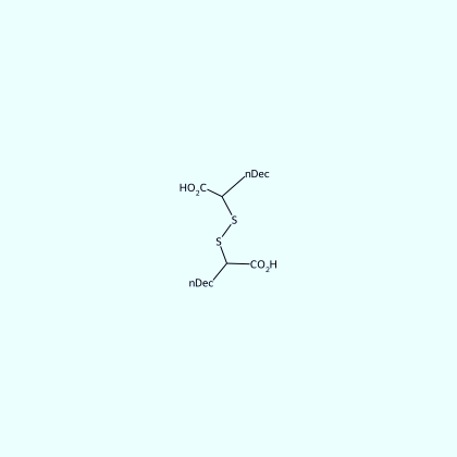 CCCCCCCCCCC(SSC(CCCCCCCCCC)C(=O)O)C(=O)O